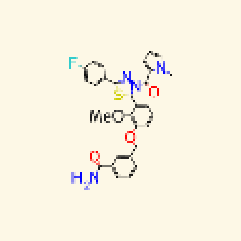 COc1c(OCc2cccc(C(N)=O)c2)cccc1C1SC(c2ccc(F)cc2)=NN1C(=O)c1cccn1C